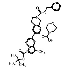 Cc1cn(C(=O)OC(C)(C)C)c2ncc(-c3cc4c(c([C@@H]5COCCN5C(=O)O)c3)CN(C(=O)OCc3ccccc3)CC4)cc12